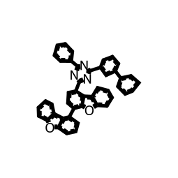 c1ccc(-c2cccc(-c3nc(-c4ccccc4)nc(-c4ccc(-c5cccc6oc7ccccc7c56)c5oc6ccccc6c45)n3)c2)cc1